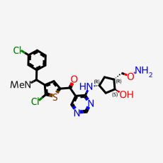 CNC(c1cccc(Cl)c1)c1cc(C(=O)c2cncnc2N[C@@H]2C[C@H](CON)[C@@H](O)C2)sc1Cl